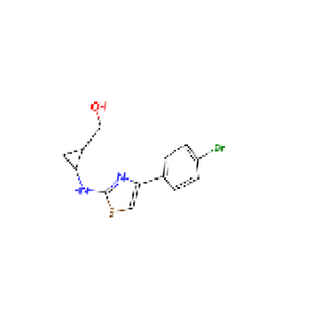 OCC1CC1Nc1nc(-c2ccc(Br)cc2)cs1